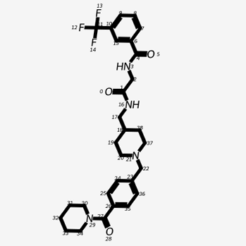 O=C(CNC(=O)c1cccc(C(F)(F)F)c1)NCC1CCN(Cc2ccc(C(=O)N3CCCCC3)cc2)CC1